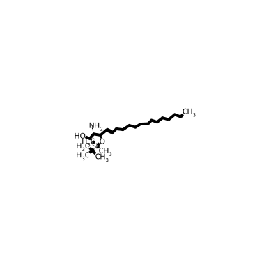 CCCCCCCCCCCCC/C=C/[C@@H](O[Si](C)(C)C(C)(C)C)[C@@H](N)CO